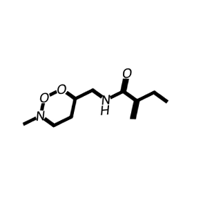 C=C(CC)C(=O)NCC1CCN(C)OO1